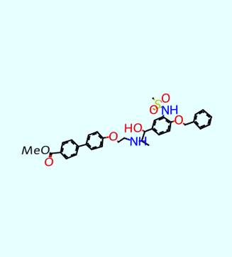 COC(=O)c1ccc(-c2ccc(OCCNC(C)C(O)c3ccc(OCc4ccccc4)c(NS(C)(=O)=O)c3)cc2)cc1